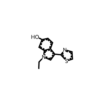 CCn1cc(-c2nccs2)c2ccc(O)cc21